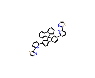 c1cc(-c2ccc3c(c2)C2(c4ccccc4-c4ccccc42)c2cc(-c4cccc(-c5nccs5)n4)ccc2-3)nc(-c2nccs2)c1